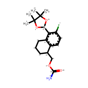 CC1(C)OB(c2c(F)ccc3c2CCCC3COC(N)=O)OC1(C)C